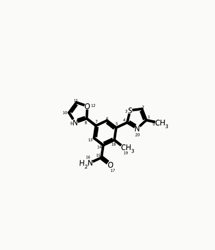 Cc1csc(-c2cc(-c3ncco3)cc(C(N)=O)c2C)n1